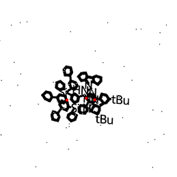 CC(C)(C)c1ccc2c(c1)c1cc(C(C)(C)C)ccc1n2C1N=C(n2c3ccccc3c3ccccc32)NC(c2cc([Si](c3ccccc3)(c3cccc(-c4ccccc4)c3)c3cccc(-c4ccccc4)c3)cc([Si](c3ccccc3)(c3cccc(-c4ccccc4)c3)c3cccc(-c4ccccc4)c3)c2)N1